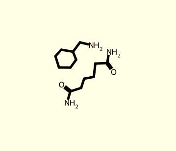 NC(=O)CCCCC(N)=O.NCC1CCCCC1